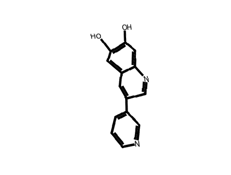 Oc1cc2cc(-c3cccnc3)cnc2cc1O